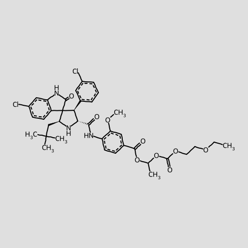 CCOCCOC(=O)OC(C)OC(=O)c1ccc(NC(=O)[C@@H]2N[C@@H](CC(C)(C)C)C3(C(=O)Nc4cc(Cl)ccc43)[C@H]2c2cccc(Cl)c2)c(OC)c1